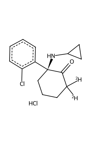 Cl.[2H]C1([2H])CCC[C@](NC2CC2)(c2ccccc2Cl)C1=O